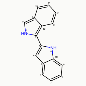 [c]1[nH]c(-c2cc3ccccc3[nH]2)c2ccccc12